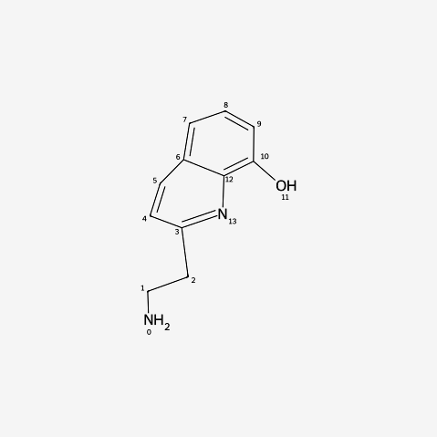 NCCc1ccc2cccc(O)c2n1